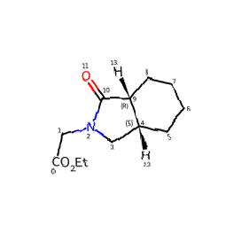 CCOC(=O)CN1C[C@H]2CCCC[C@H]2C1=O